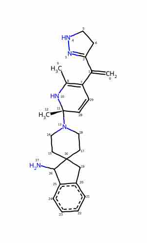 C=C(C1=NNCC1)C1=C(C)N[C@@](C)(N2CCC3(CC2)Cc2ccccc2C3N)C=C1